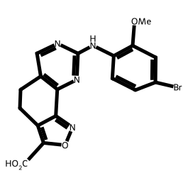 COc1cc(Br)ccc1Nc1ncc2c(n1)-c1noc(C(=O)O)c1CC2